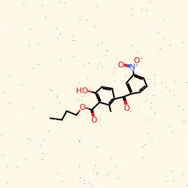 CCCCOC(=O)c1c(O)ccc(C(=O)c2cccc([N+](=O)[O-])c2)c1C